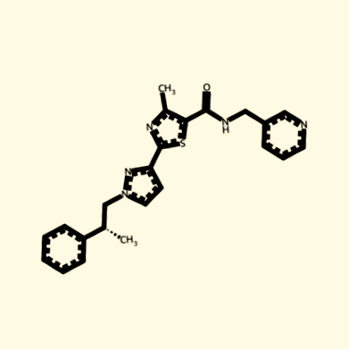 Cc1nc(-c2ccn(C[C@H](C)c3ccccc3)n2)sc1C(=O)NCc1cccnc1